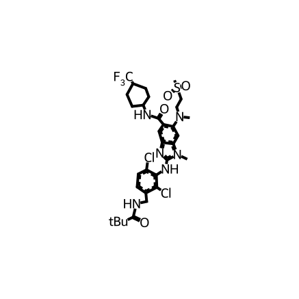 CN(CCS(C)(=O)=O)c1cc2c(cc1C(=O)NC1CCC(C(F)(F)F)CC1)nc(Nc1c(Cl)ccc(CNC(=O)C(C)(C)C)c1Cl)n2C